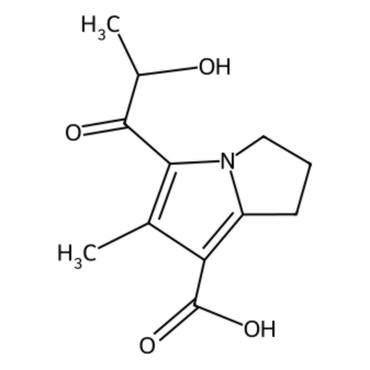 Cc1c(C(=O)O)c2n(c1C(=O)C(C)O)CCC2